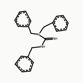 N=C(NCc1ccccc1)N(Cc1ccccc1)Cc1ccccc1